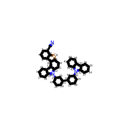 N#Cc1cccc2c1sc1ccc3c(c4ccccc4n3-c3cccc(-c4cccc(-n5c6ccccc6c6ccccc65)c4)c3)c12